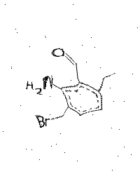 Cc1ccc(Br)c(N)c1C=O